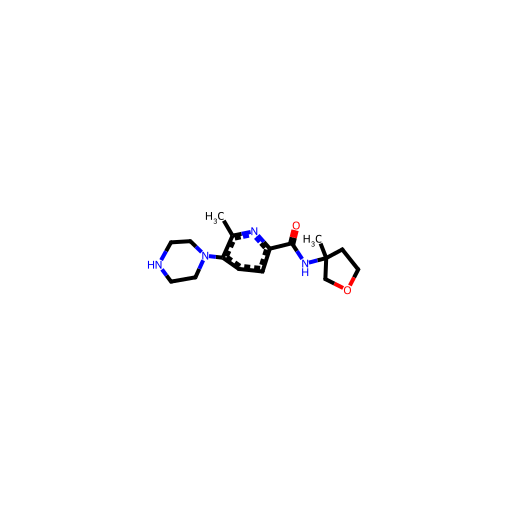 Cc1nc(C(=O)NC2(C)CCOC2)ccc1N1CCNCC1